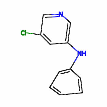 Clc1cncc(Nc2ccccc2)c1